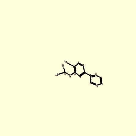 Fc1ccc(-c2cnc[c]n2)cc1OC(F)F